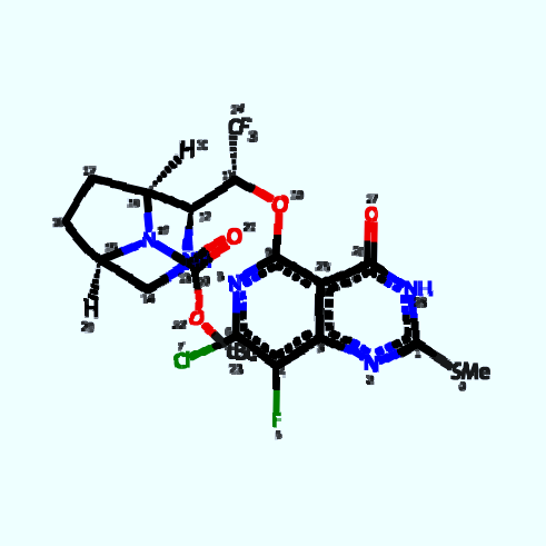 CSc1nc2c(F)c(Cl)nc(O[C@H]([C@H]3NC[C@H]4CC[C@@H]3N4C(=O)OC(C)(C)C)C(F)(F)F)c2c(=O)[nH]1